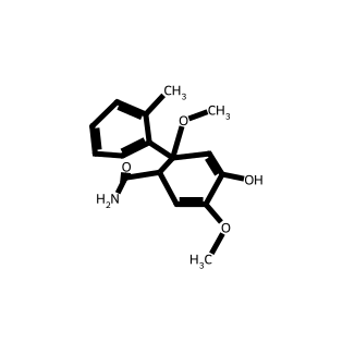 COC1=CC(C(N)=O)C(OC)(c2ccccc2C)C=C1O